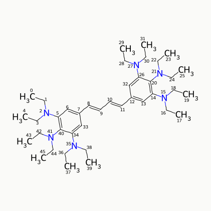 CCN(CC)c1cc(/C=C/C=C/c2cc(N(CC)CC)c(N(CC)CC)c(N(CC)CC)c2)cc(N(CC)CC)c1N(CC)CC